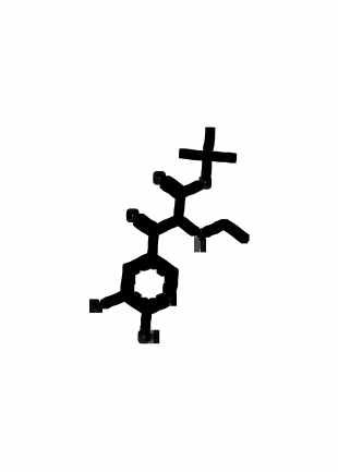 CCNC(C(=O)OC(C)(C)C)C(=O)c1cnc(O)c(Br)c1